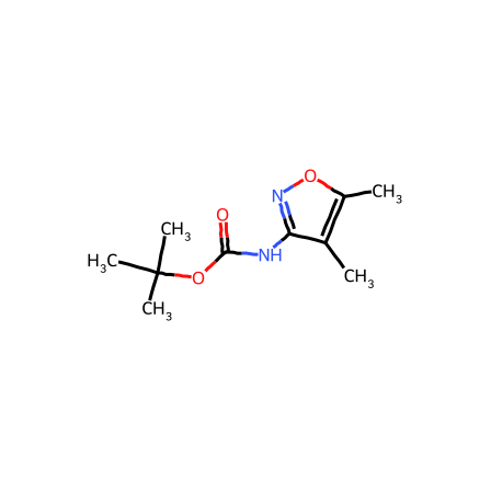 Cc1onc(NC(=O)OC(C)(C)C)c1C